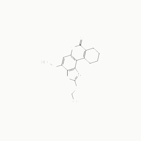 CCOc1nc2c(o1)c(OC)cc1oc(=O)c3c(c12)CCCC3